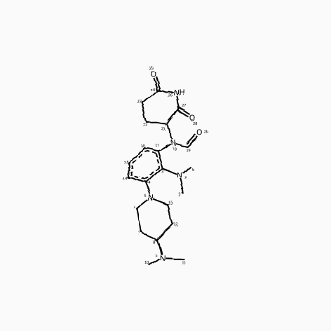 CN(C)c1c(N2CCC(N(C)C)CC2)cccc1N(C=O)C1CCC(=O)NC1=O